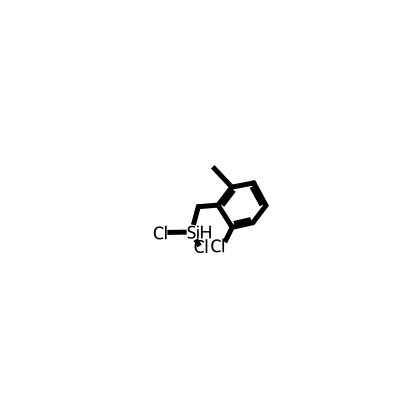 Cc1cccc(Cl)c1C[SiH](Cl)Cl